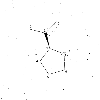 CC(C)[C@@H]1CCCS1